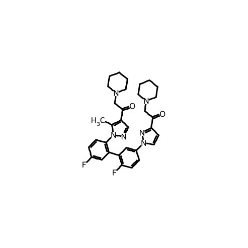 Cc1c(C(=O)CN2CCCCC2)cnn1-c1ccc(F)cc1-c1cc(-n2ccc(C(=O)CN3CCCCC3)n2)ccc1F